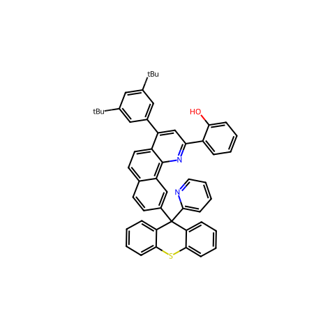 CC(C)(C)c1cc(-c2cc(-c3ccccc3O)nc3c2ccc2ccc(C4(c5ccccn5)c5ccccc5Sc5ccccc54)cc23)cc(C(C)(C)C)c1